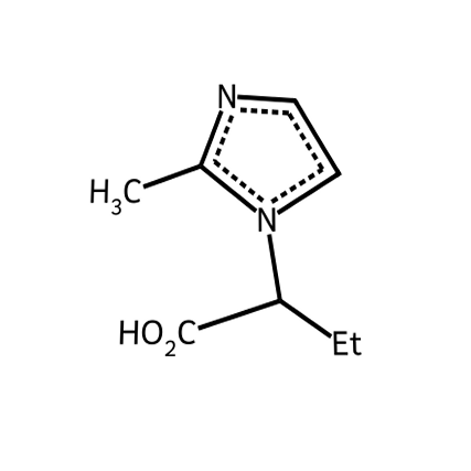 CCC(C(=O)O)n1ccnc1C